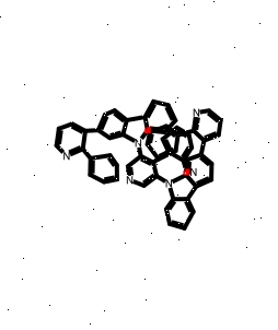 N#Cc1ccccc1-c1c(-n2c3ccccc3c3ccc(-c4cccnc4-c4ccccc4)cc32)cncc1-n1c2ccccc2c2ccc(-c3cccnc3-c3ccccc3)cc21